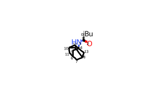 CCC(C)C(=O)NC12CC3CC(CC(C3)C1)C2